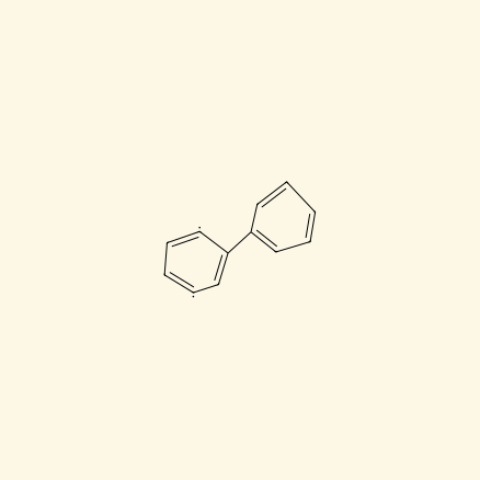 [c]1cc[c]c(-c2ccccc2)c1